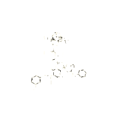 CC[C@H](NC(=O)[C@@H]1C[C@@](C)(CC(=O)Nc2ccccc2)c2ncc(NCc3cccc(C(F)(F)F)c3)c(=O)n21)B1O[C@@H]2C[C@@H]3C[C@@H](C3(C)C)[C@]2(C)O1